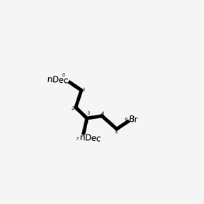 CCCCCCCCCCCCC(CCBr)CCCCCCCCCC